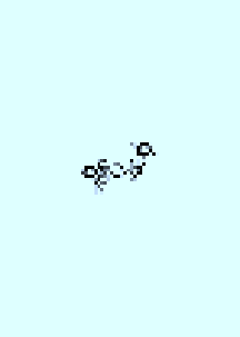 Cc1ccc(C)c(Cc2csc(N3CCN(S(=O)(=O)c4ccccc4C#N)CC3)n2)c1